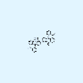 O=c1c2ccccc2n2c3c(cccc13)C(O)c1cc(-c3ccc4c(c3)c(=S)c3cccc5c(=S)c6ccccc6n4c53)ccc1-2